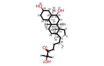 C[C@H](CCC(=O)C(C)(C)O)[C@H]1CC[C@H]2[C@@H]3C[C@H](O)[C@@H]4CC(O)CC[C@]4(C)[C@H]3CC[C@]12C